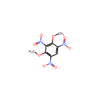 COc1c([N+](=O)[O-])cc([N+](=O)[O-])c(OC)c1[N+](=O)[O-]